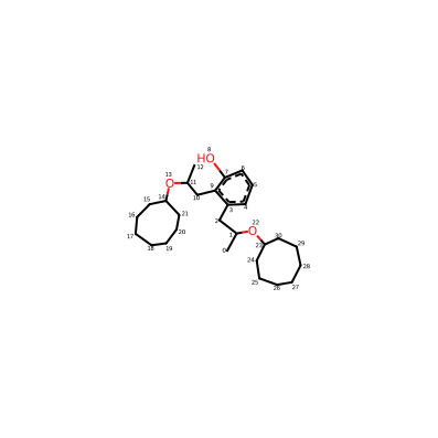 CC(Cc1cccc(O)c1CC(C)OC1CCCCCCC1)OC1CCCCCCC1